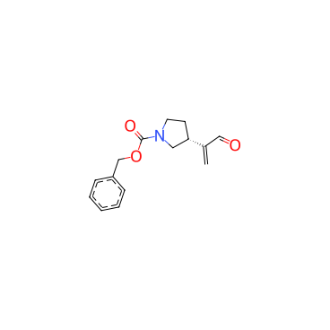 C=C(C=O)[C@H]1CCN(C(=O)OCc2ccccc2)C1